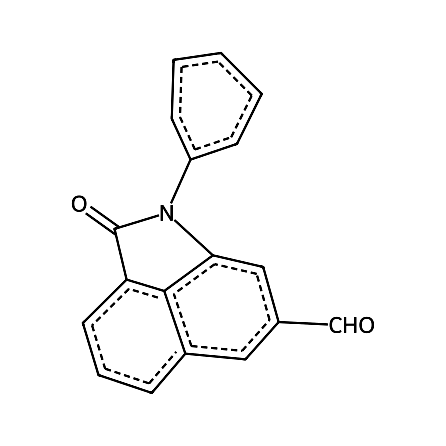 O=Cc1cc2c3c(cccc3c1)C(=O)N2c1ccccc1